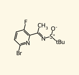 C/C(=N\[S+]([O-])C(C)(C)C)c1nc(Br)ccc1F